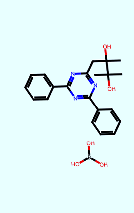 CC(C)(O)C(C)(O)Cc1nc(-c2ccccc2)nc(-c2ccccc2)n1.OB(O)O